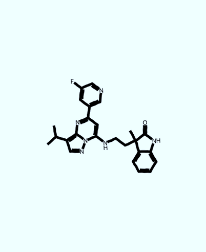 CC(C)c1cnn2c(NCCC3(C)C(=O)Nc4ccccc43)cc(-c3cncc(F)c3)nc12